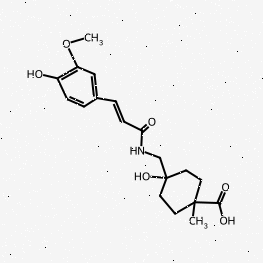 COc1cc(C=CC(=O)NCC2(O)CCC(C)(C(=O)O)CC2)ccc1O